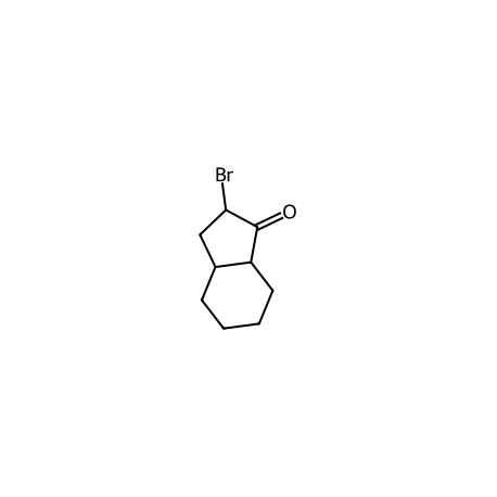 O=C1C(Br)CC2CCCCC12